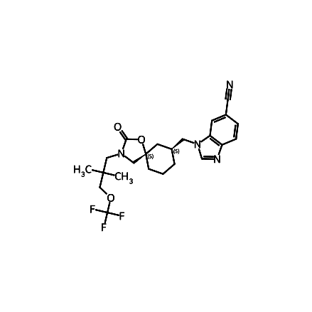 CC(C)(COC(F)(F)F)CN1C[C@@]2(CCC[C@H](Cn3cnc4ccc(C#N)cc43)C2)OC1=O